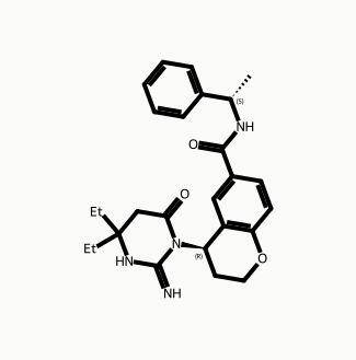 CCC1(CC)CC(=O)N([C@@H]2CCOc3ccc(C(=O)N[C@@H](C)c4ccccc4)cc32)C(=N)N1